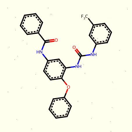 O=C(Nc1cccc(C(F)(F)F)c1)Nc1cc(NC(=O)c2ccccc2)ccc1Oc1ccccc1